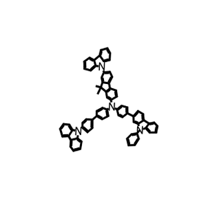 CC1(C)c2cc(N(c3ccc(-c4ccc(-n5c6ccccc6c6ccccc65)cc4)cc3)c3ccc(-c4ccc5c6ccccc6n(-c6ccccc6)c5c4)cc3)ccc2-c2ccc(-n3c4ccccc4c4ccccc43)cc21